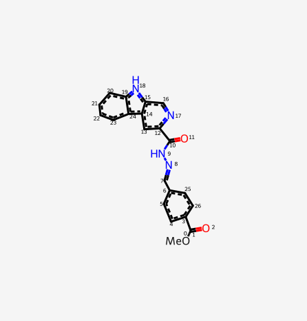 COC(=O)c1ccc(C=NNC(=O)c2cc3c(cn2)[nH]c2ccccc23)cc1